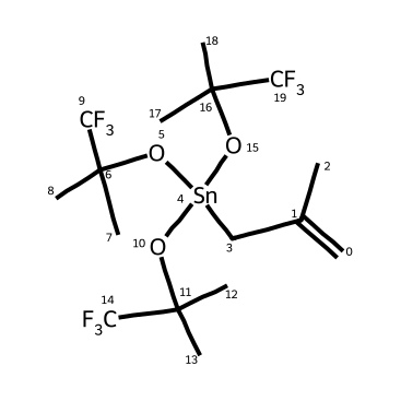 C=C(C)[CH2][Sn]([O]C(C)(C)C(F)(F)F)([O]C(C)(C)C(F)(F)F)[O]C(C)(C)C(F)(F)F